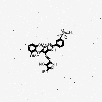 COc1cccc(OC)c1Oc1nn2nc(-c3cccc(NS(C)(=O)=O)c3)[nH]c2c1N=Nc1[nH]nc(C(C)(C)C)c1C#N